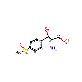 CS(=O)(=O)c1ccc(C(O)[C@@H](N)CO)cc1